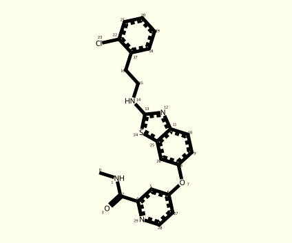 CNC(=O)c1cc(Oc2ccc3nc(NCCc4ccccc4Cl)sc3c2)ccn1